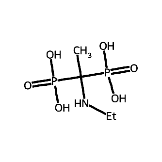 CCNC(C)(P(=O)(O)O)P(=O)(O)O